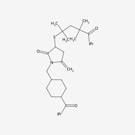 C=C1CC(SC(C)(C)CC(C)(C)C(=O)C(C)C)C(=O)N1CC1CCC(C(=O)C(C)C)CC1